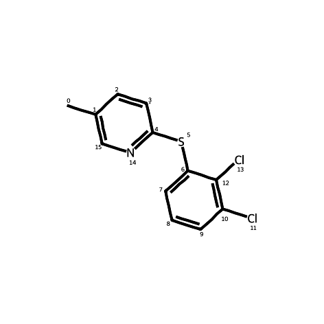 Cc1c[c]c(Sc2cccc(Cl)c2Cl)nc1